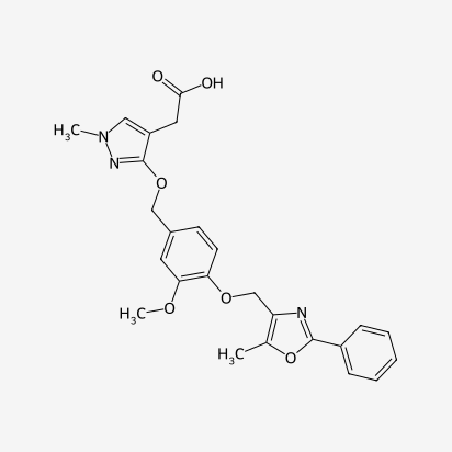 COc1cc(COc2nn(C)cc2CC(=O)O)ccc1OCc1nc(-c2ccccc2)oc1C